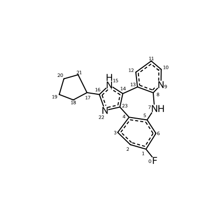 Fc1ccc2c(c1)Nc1ncccc1-c1[nH]c(C3CCCC3)nc1-2